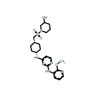 COc1ncccc1Nc1nccc(N[C@H]2CC[C@H](CS(=O)(=O)N3CCCC(O)C3)CC2)n1